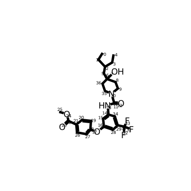 CCC(CC)CC1(O)CCN(C(=O)Nc2cc(Oc3ccc(C(=O)OC)cc3)cc(C(F)(F)F)c2)CC1